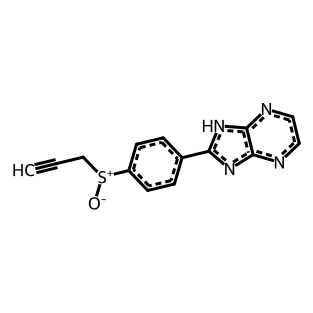 C#CC[S+]([O-])c1ccc(-c2nc3nccnc3[nH]2)cc1